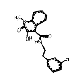 Cn1c(=O)c(O)c(C(=O)NCCc2cccc(Cl)c2)c2ccccc21